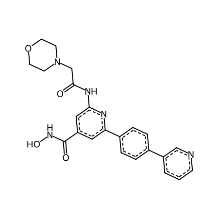 O=C(CN1CCOCC1)Nc1cc(C(=O)NO)cc(-c2ccc(-c3cccnc3)cc2)n1